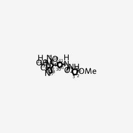 COc1cccc(NC(=O)Nc2ccc(-c3c(C(N)=O)n(OC(=O)C(F)(F)F)c4cnccc34)cc2)c1